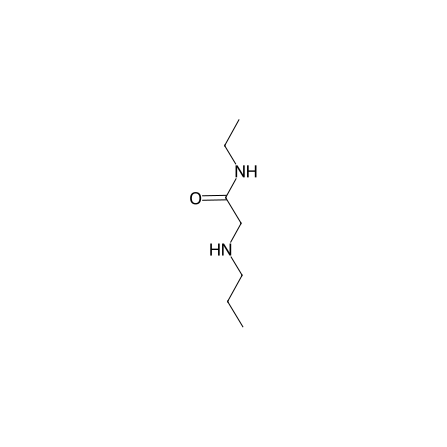 CCCNCC(=O)NCC